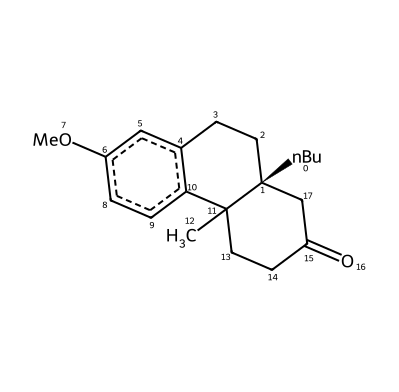 CCCC[C@]12CCc3cc(OC)ccc3C1(C)CCC(=O)C2